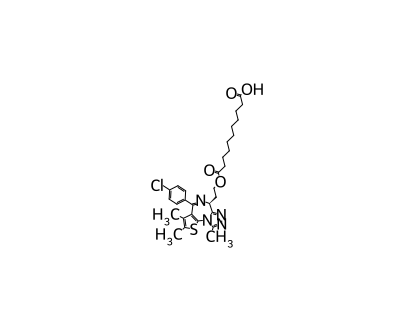 Cc1sc2c(c1C)C(c1ccc(Cl)cc1)=N[C@@H](CCOC(=O)CCCCCCCCCC(=O)O)c1nnc(C)n1-2